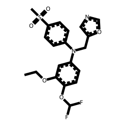 CCOc1cc(N(Cc2cnco2)c2ccc(S(C)(=O)=O)cc2)ccc1OC(F)F